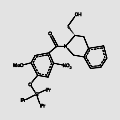 COc1cc(C(=O)N2Cc3ccccc3C[C@H]2CO)c([N+](=O)[O-])cc1O[Si](C(C)C)(C(C)C)C(C)C